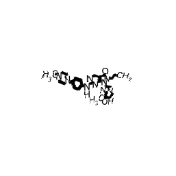 C=CCn1c(=O)c2cnc(Nc3ccc(N4CCN(C)CC4)cc3)nc2n1-c1cn2c(n1)C(C)(O)CC2